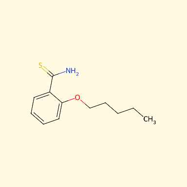 CCCCCOc1ccccc1C(N)=S